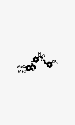 COc1cc2nccc(Oc3ccc(NC(=O)OCCc4cccc(C(F)(F)F)c4)cc3)c2cc1OC